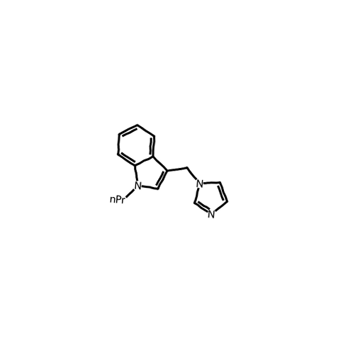 CCCn1cc(Cn2ccnc2)c2ccccc21